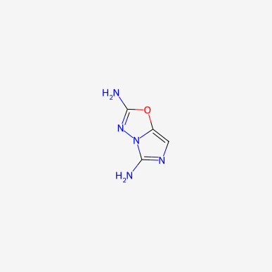 Nc1nn2c(N)ncc2o1